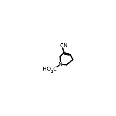 N#CC1=CCCN(C(=O)O)C1